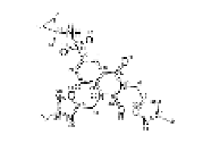 Cc1cc(Cn2c(=O)c3cc(S(=O)(=O)NC4(C)CC4)ccc3n(Cc3nc(C)no3)c2=O)on1